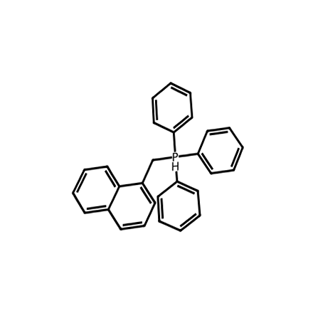 c1ccc([PH](Cc2cccc3ccccc23)(c2ccccc2)c2ccccc2)cc1